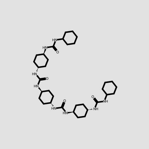 O=C(NC1CCCCC1)N[C@H]1CC[C@H](NC(=O)N[C@H]2CC[C@H](NC(=O)N[C@H]3CC[C@H](NC(=O)NC4CCCCC4)CC3)CC2)CC1